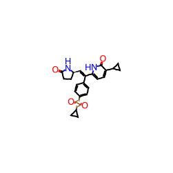 O=C1CC[C@H](/C=C(\c2ccc(S(=O)(=O)C3CC3)cc2)c2ccc(C3CC3)c(=O)[nH]2)N1